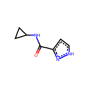 O=C(NC1CC1)c1c[c][nH]n1